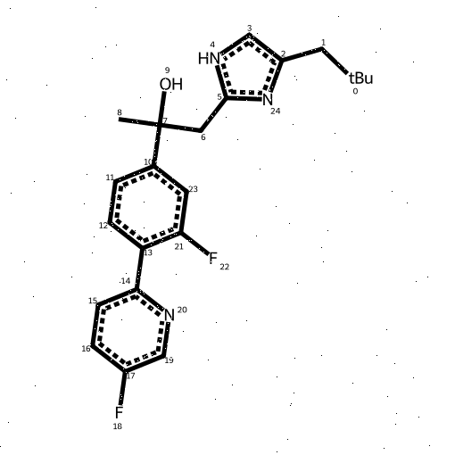 CC(C)(C)Cc1c[nH]c(CC(C)(O)c2ccc(-c3ccc(F)cn3)c(F)c2)n1